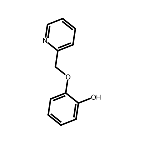 Oc1cc[c]cc1OCc1ccccn1